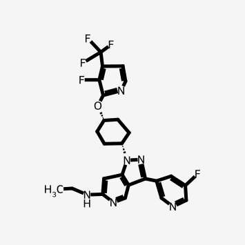 CCNc1cc2c(cn1)c(-c1cncc(F)c1)nn2[C@H]1CC[C@@H](Oc2nccc(C(F)(F)F)c2F)CC1